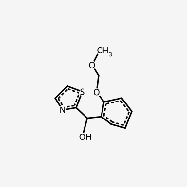 COCOc1ccccc1C(O)c1nccs1